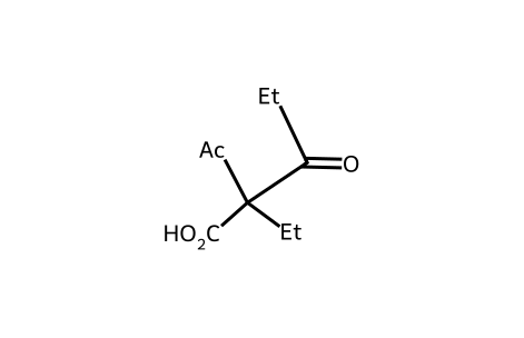 CCC(=O)C(CC)(C(C)=O)C(=O)O